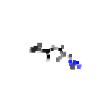 CCCC1CCC(CN)CC1